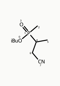 CC(C)COP(C)(=O)C(C)CC#N